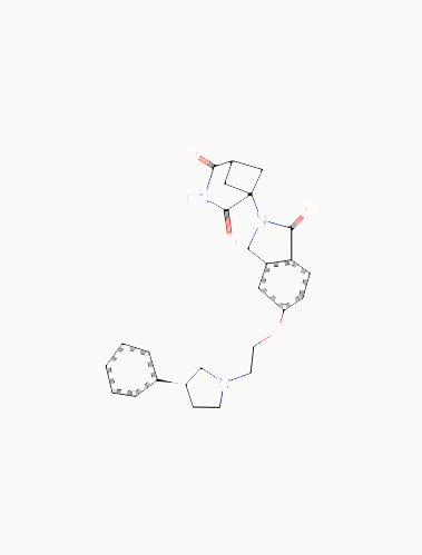 O=C1NC(=O)C2(N3Cc4cc(OCCN5CC[C@@H](c6ccccc6)C5)ccc4C3=O)CC1C2